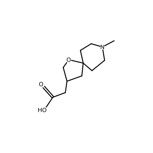 CN1CCC2(CC1)CC(CC(=O)O)CO2